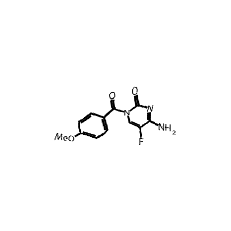 COc1ccc(C(=O)n2cc(F)c(N)nc2=O)cc1